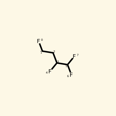 F[CH]CC(F)C(F)F